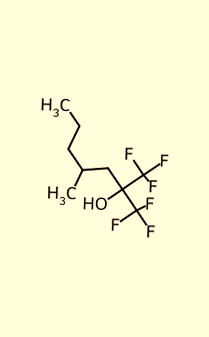 CCCC(C)CC(O)(C(F)(F)F)C(F)(F)F